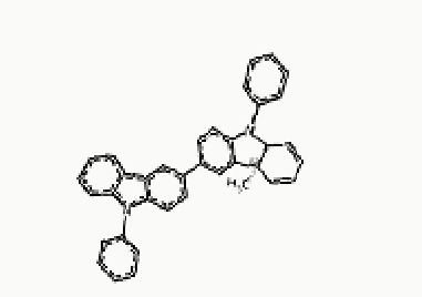 C[C@@]12C=CC=CC1N(c1ccccc1)c1ccc(-c3ccc4c(c3)c3ccccc3n4-c3ccccc3)cc12